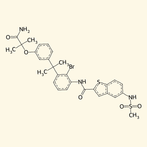 CC(C)(Oc1cccc(C(C)(C)c2cccc(NC(=O)c3cc4cc(NS(C)(=O)=O)ccc4s3)c2Br)c1)C(N)=O